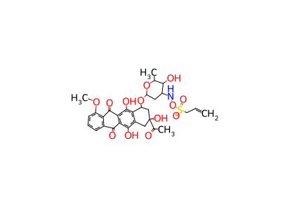 C=CCS(=O)(=O)ONC1CC(O[C@H]2C[C@](O)(C(C)=O)Cc3c(O)c4c(c(O)c32)C(=O)c2c(OC)cccc2C4=O)OC(C)C1O